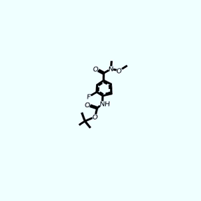 CON(C)C(=O)c1ccc(NC(=O)OC(C)(C)C)c(F)c1